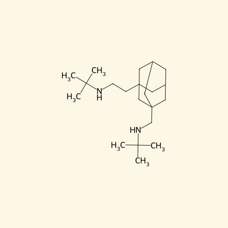 CC(C)(C)NCCC12CC3CC(C1)CC(CNC(C)(C)C)(C3)C2